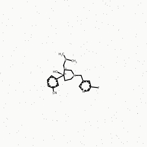 CN(C)C[C@H]1CN(Cc2cncc(F)c2)CC[C@]1(O)c1cccc(C#N)c1